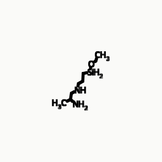 CCO[SiH2]CCCNCC(C)N